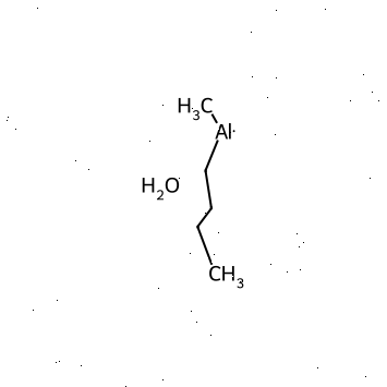 CCC[CH2][Al][CH3].O